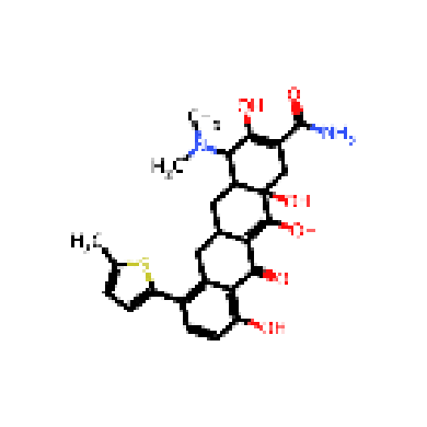 Cc1ccc(-c2ccc(O)c3c2CC2CC4C(N(C)C)C(O)=C(C(N)=O)CC4(O)C(O)=C2C3=O)s1